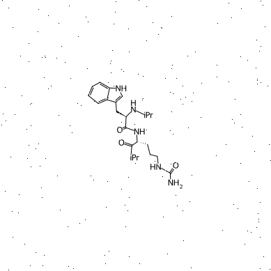 CC(C)N[C@H](Cc1c[nH]c2ccccc12)C(=O)N[C@H](CCCNC(N)=O)C(=O)C(C)C